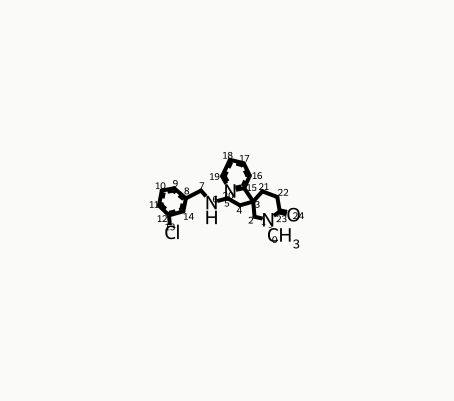 CN1CC(CCNCc2cccc(Cl)c2)(c2ccccn2)CCC1=O